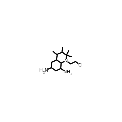 CC1C2CC(N)CC(N)C2N(CCCl)C(C)(C)C1C